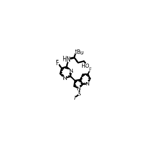 CC(C)(C)C(CCO)Nc1nc(-c2cn(SI)c3ncc(F)cc23)ncc1F